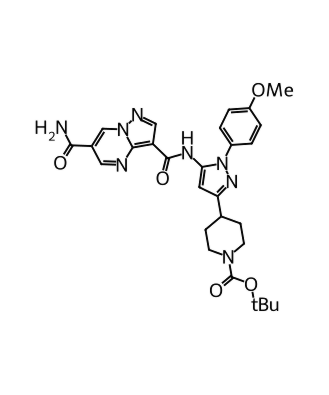 COc1ccc(-n2nc(C3CCN(C(=O)OC(C)(C)C)CC3)cc2NC(=O)c2cnn3cc(C(N)=O)cnc23)cc1